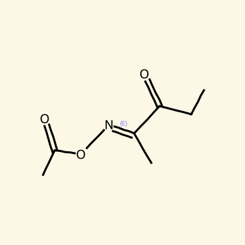 CCC(=O)/C(C)=N/OC(C)=O